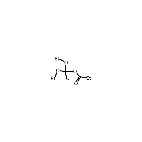 [CH2]C(OCC)(OCC)OC(=O)CC